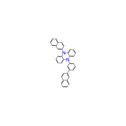 c1cc(-c2ccc3ccccc3c2)cc(N2c3ccccc3N(c3ccc4ccccc4c3)c3ccccc32)c1